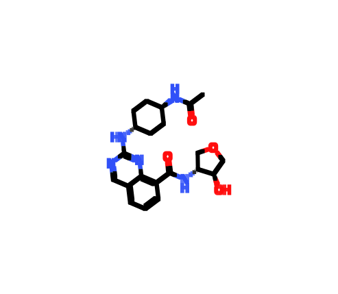 CC(=O)N[C@H]1CC[C@H](Nc2ncc3cccc(C(=O)N[C@@H]4COC[C@H]4O)c3n2)CC1